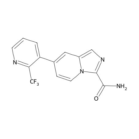 NC(=O)c1ncc2cc(-c3cccnc3C(F)(F)F)ccn12